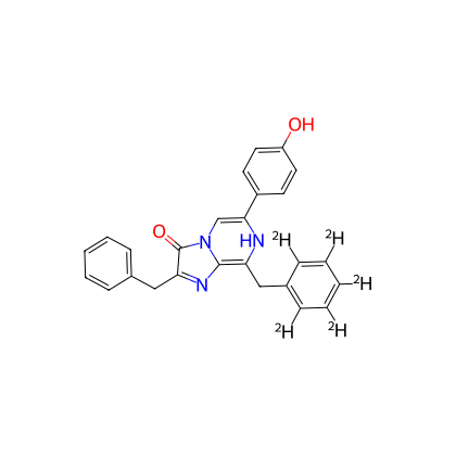 [2H]c1c([2H])c([2H])c(Cc2[nH]c(-c3ccc(O)cc3)cn3c(=O)c(Cc4ccccc4)nc2-3)c([2H])c1[2H]